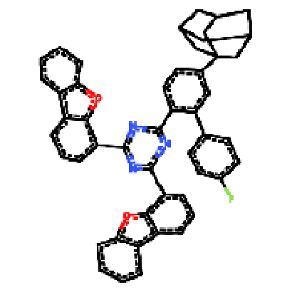 Fc1ccc(-c2cc(C34CC5CC(CC(C5)C3)C4)ccc2-c2nc(-c3cccc4c3oc3ccccc34)nc(-c3cccc4c3oc3ccccc34)n2)cc1